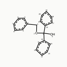 OC(OCc1ccccc1)(c1ccccc1)c1ccccc1